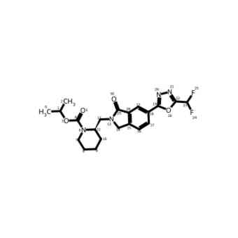 CC(C)OC(=O)N1CCCC[C@@H]1CN1Cc2ccc(-c3nnc(C(F)F)o3)cc2C1=O